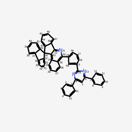 c1ccc(-c2cc(-c3ccccc3)nc(-c3cccc(-c4nc5c(c6ccccc46)C4(c6ccccc6-c6ccccc64)c4ccccc4-5)c3)n2)cc1